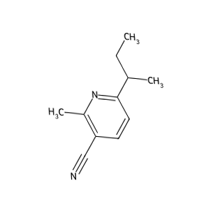 CCC(C)c1ccc(C#N)c(C)n1